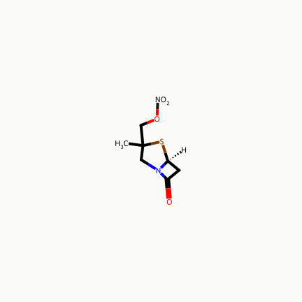 CC1(CO[N+](=O)[O-])CN2C(=O)C[C@@H]2S1